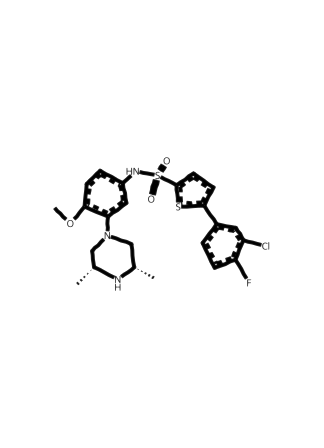 COc1ccc(NS(=O)(=O)c2ccc(-c3ccc(F)c(Cl)c3)s2)cc1N1C[C@@H](C)N[C@@H](C)C1